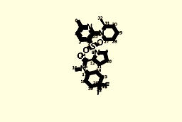 Cc1ccc(S(=O)(=O)N2CCC[C@H]2C(=O)N(C)C2CCC(F)(F)CC2)c(N2CCCC[C@@H]2C)n1